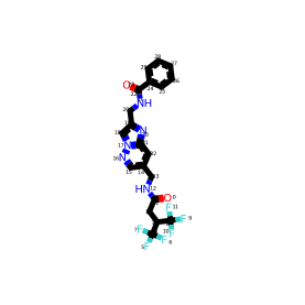 O=C(CC(C(F)(F)F)C(F)(F)F)NCc1cnn2cc(CNC(=O)c3ccccc3)nc2c1